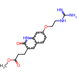 COC(=O)CCc1cc2ccc(OCCNC(=N)N)cc2[nH]c1=O